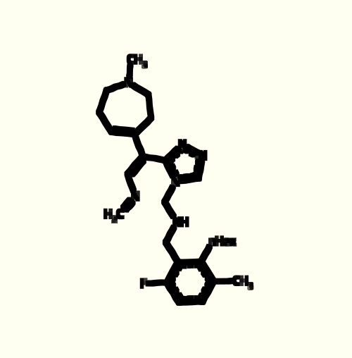 C=N/C=C(/C1=CCCN(C)CC1)c1nncn1CNCc1c(F)ccc(C)c1CCCCCC